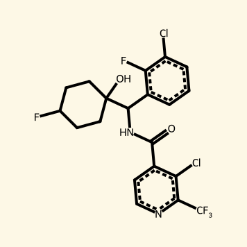 O=C(NC(c1cccc(Cl)c1F)C1(O)CCC(F)CC1)c1ccnc(C(F)(F)F)c1Cl